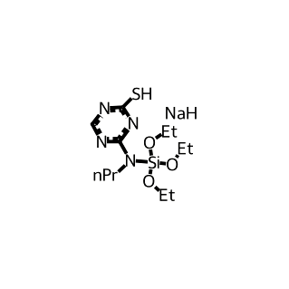 CCCN(c1ncnc(S)n1)[Si](OCC)(OCC)OCC.[NaH]